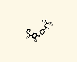 O=C(OC(C(F)(F)F)C(F)(F)F)N1CCN(Cc2ccc(C(=O)N3CCC3)cc2Cl)CC1